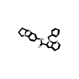 O=C(Nc1ccc2c(c1)nc1n2CCC1)c1cc2cccnc2n1Cc1ccccc1